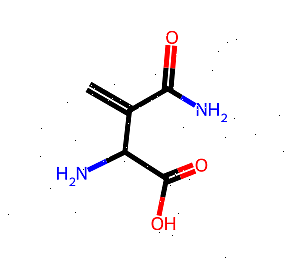 C=C(C(N)=O)C(N)C(=O)O